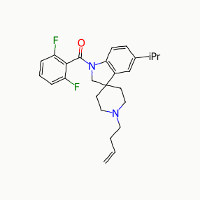 C=CCCN1CCC2(CC1)CN(C(=O)c1c(F)cccc1F)c1ccc(C(C)C)cc12